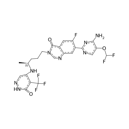 C[C@@H](CCCn1cnc2cc(-c3ncc(OC(F)F)c(N)n3)c(F)cc2c1=O)Nc1cn[nH]c(=O)c1C(F)(F)F